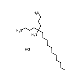 CCCCCCCCCCCC(N)(CCCN)CCCN.Cl